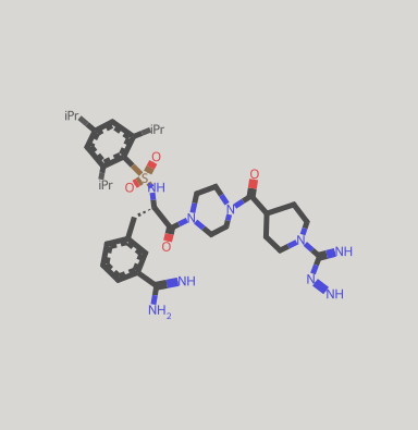 CC(C)c1cc(C(C)C)c(S(=O)(=O)N[C@@H](Cc2cccc(C(=N)N)c2)C(=O)N2CCN(C(=O)C3CCN(C(=N)N=N)CC3)CC2)c(C(C)C)c1